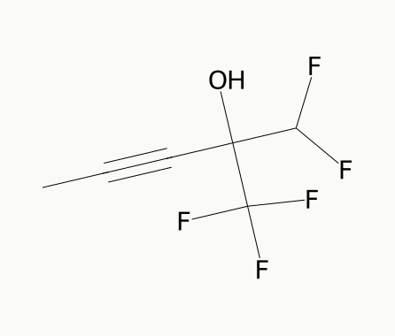 CC#CC(O)(C(F)F)C(F)(F)F